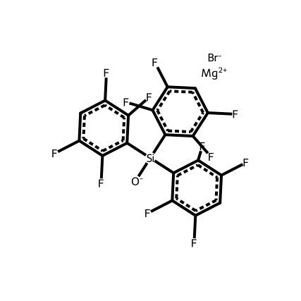 [Br-].[Mg+2].[O-][Si](c1c(F)c(F)cc(F)c1F)(c1c(F)c(F)cc(F)c1F)c1c(F)c(F)cc(F)c1F